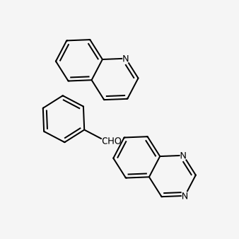 O=Cc1ccccc1.c1ccc2ncccc2c1.c1ccc2ncncc2c1